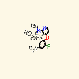 CC(C)(C)N(C(=O)O)c1nccc(Oc2ccc([N+](=O)[O-])cc2F)c1C=O